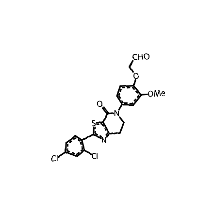 COc1cc(N2CCc3nc(-c4ccc(Cl)cc4Cl)sc3C2=O)ccc1OCC=O